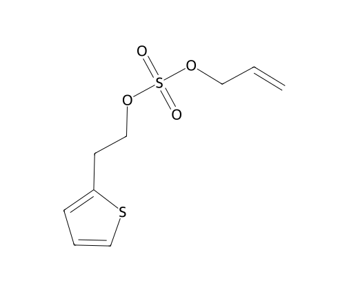 C=CCOS(=O)(=O)OCCc1cccs1